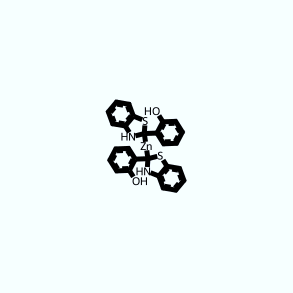 Oc1ccccc1[C]1([Zn][C]2(c3ccccc3O)Nc3ccccc3S2)Nc2ccccc2S1